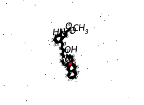 COC(=O)c1cc2c(CCC(O)CN3CC4CC=CCC3CN4c3ccc4ccccc4c3)cccc2[nH]1